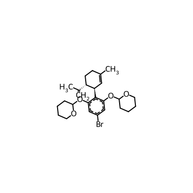 C=C(C)[C@@H]1CCC(C)=C[C@H]1c1c(OC2CCCCO2)cc(Br)cc1OC1CCCCO1